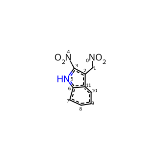 O=[N+]([O-])Cc1c([N+](=O)[O-])[nH]c2ccccc12